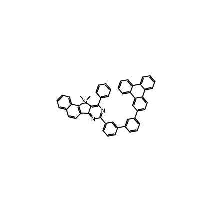 C[Si]1(C)c2c(-c3ccccc3)nc(-c3cccc(-c4cccc(-c5ccc6c7ccccc7c7ccccc7c6c5)c4)c3)nc2-c2ccc3ccccc3c21